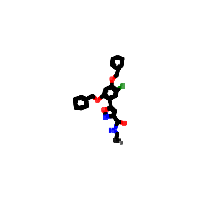 CCNC(=O)c1cc(-c2cc(Cl)c(OCc3ccccc3)cc2OCc2ccccc2)on1